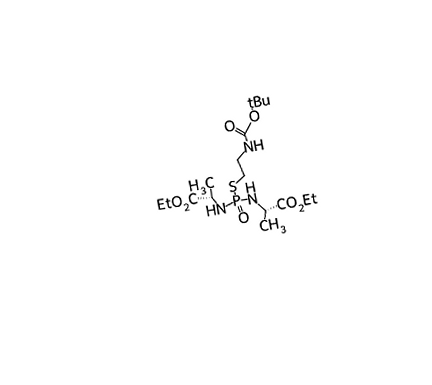 CCOC(=O)[C@H](C)NP(=O)(N[C@@H](C)C(=O)OCC)SCCNC(=O)OC(C)(C)C